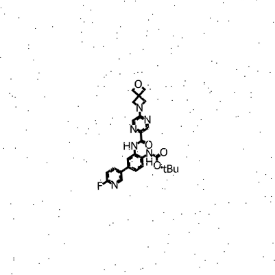 CC(C)(C)OC(=O)Nc1ccc(-c2ccc(F)nc2)cc1NC(=O)c1cnc(N2CC3(COC3)C2)cn1